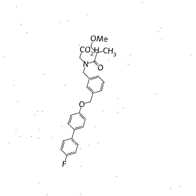 COCC(C)C(=O)N(CC(=O)O)Cc1cccc(COc2ccc(-c3ccc(F)cc3)cc2)c1